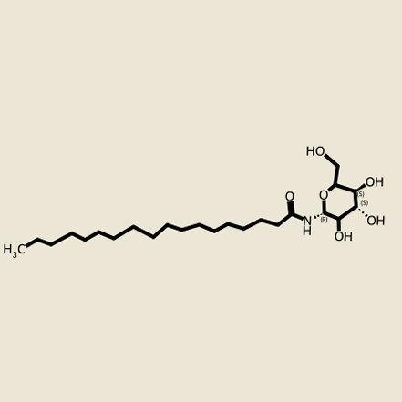 CCCCCCCCCCCCCCCCCC(=O)N[C@@H]1OC(CO)[C@@H](O)[C@H](O)C1O